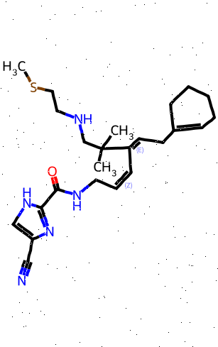 CSCCNCC(C)(C)C(/C=C\CNC(=O)c1nc(C#N)c[nH]1)=C/CC1=CCCCC1